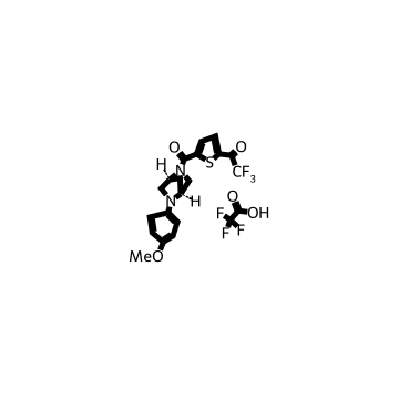 COc1ccc(N2C[C@@H]3C[C@H]2CN3C(=O)c2ccc(C(=O)C(F)(F)F)s2)cc1.O=C(O)C(F)(F)F